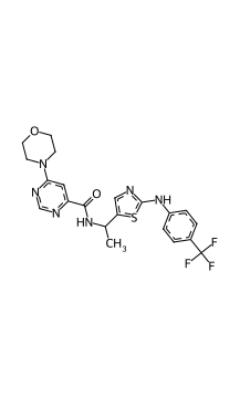 CC(NC(=O)c1cc(N2CCOCC2)ncn1)c1cnc(Nc2ccc(C(F)(F)F)cc2)s1